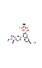 CC(=O)Nc1ccc2c(N3CCN(C(=O)N(C)C)CC3)cc(S(=O)(=O)NC3(CF)CC3)cc2c1